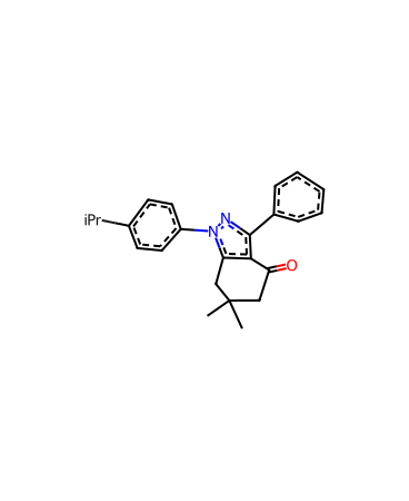 CC(C)c1ccc(-n2nc(-c3ccccc3)c3c2CC(C)(C)CC3=O)cc1